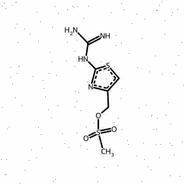 CS(=O)(=O)OCc1csc(NC(=N)N)n1